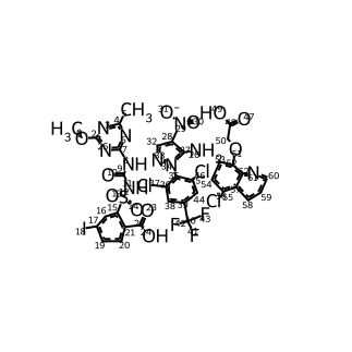 COc1nc(C)nc(NC(=O)NS(=O)(=O)c2cc(I)ccc2C(=O)O)n1.Nc1c([N+](=O)[O-])cnn1-c1c(Cl)cc(C(F)(F)F)cc1Cl.O=C(O)COc1ccc(Cl)c2cccnc12